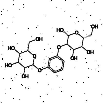 OCC1OC(Oc2cccc(OC3C(O)C(O)[C@@H](CO)O[C@H]3O)c2)C(O)C(O)C1O